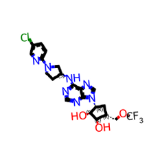 O[C@@H]1[C@@H](COC(F)(F)F)C[C@@H](n2cnc3c(N[C@H]4CCN(c5ccc(Cl)cn5)C4)ncnc32)[C@@H]1O